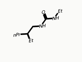 CCCC(CC)CNC(=O)NCC